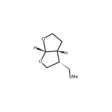 CSC[C@@H]1CO[C@@H]2OCC[C@H]12